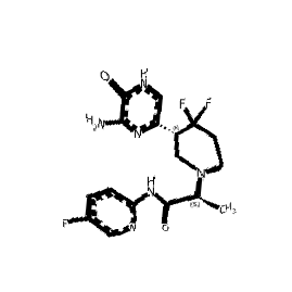 C[C@@H](C(=O)Nc1ccc(F)cn1)N1CCC(F)(F)[C@@H](c2c[nH]c(=O)c(N)n2)C1